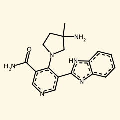 CC1(N)CCN(c2c(C(N)=O)cncc2-c2nc3ccccc3[nH]2)C1